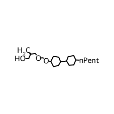 C=C(CO)COCOC1CCC(C2CCC(CCCCC)CC2)CC1